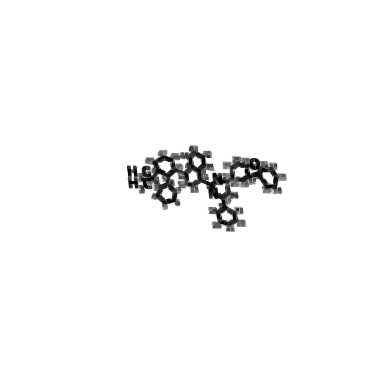 CC1(C)c2ccccc2-c2c(-c3ccc(-c4nc(-c5ccccc5)cc(-c5ccc6oc7ccccc7c6c5)n4)c4ccccc34)cccc21